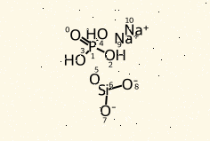 O=P(O)(O)O.O=[Si]([O-])[O-].[Na+].[Na+]